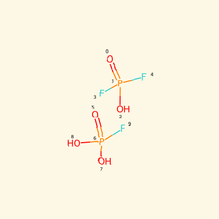 O=P(O)(F)F.O=P(O)(O)F